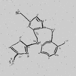 N#Cc1cnc(Oc2ccccc2I)c(Nc2nc(C(F)(F)F)cs2)c1